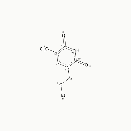 CCOCn1cc(C(Cl)(Cl)Cl)c(=O)[nH]c1=O